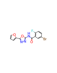 O=C(Nc1nnc(-c2ccco2)o1)c1cc(Br)ccc1F